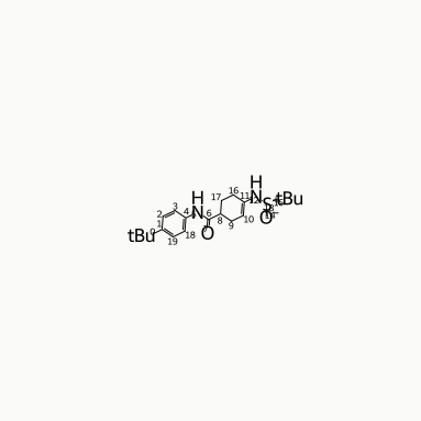 CC(C)(C)c1ccc(NC(=O)C2CC=C(N[S+]([O-])C(C)(C)C)CC2)cc1